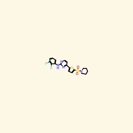 O=S(=O)(c1ccc(-c2ccnc(Nc3cccc(F)c3F)n2)s1)N1CCCCC1